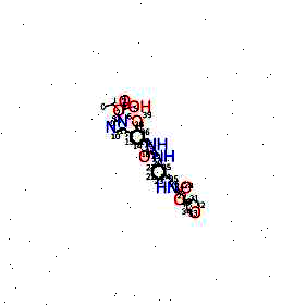 CCOP(=O)(O)Cn1cncc1-c1ccc(NC(=O)Nc2cccc(CNC(=O)O[C@H]3CCOC3)c2)cc1OC